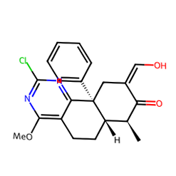 COc1nc(Cl)nc2c1CC[C@H]1[C@H](C)C(=O)C(=CO)C[C@]21c1ccccc1